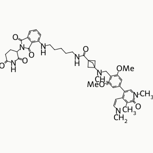 C=N/C=C\c1c(-c2cc(OC)c(CN(C)C34CC(C(=O)NCCCCCNc5cccc6c5C(=O)N(C5CCC(=O)NC5=O)C6=O)(C3)C4)c(OC)c2)cn(C)c(=O)c1C